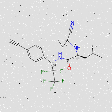 C#Cc1ccc([C@H](NC(=O)[C@H](CC(C)C)NC2(C#N)CC2)C(F)(F)C(F)(F)F)cc1